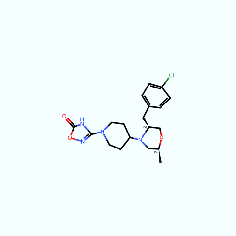 C[C@H]1CN(C2CCN(c3noc(=O)[nH]3)CC2)[C@@H](Cc2ccc(Cl)cc2)CO1